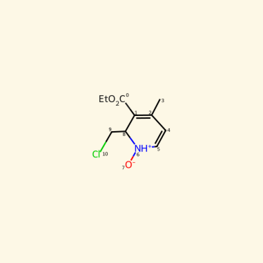 CCOC(=O)C1=C(C)C=C[NH+]([O-])C1CCl